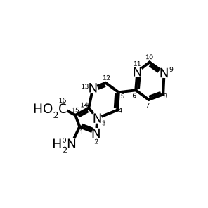 Nc1nn2cc(-c3ccncn3)cnc2c1C(=O)O